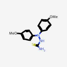 COc1ccc(N(NC(N)=S)c2ccc(OC)cc2)cc1